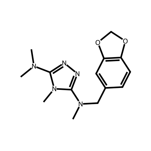 CN(C)c1nnc(N(C)Cc2ccc3c(c2)OCO3)n1C